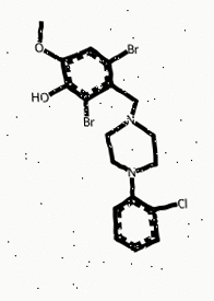 COc1cc(Br)c(CN2CCN(c3ccccc3Cl)CC2)c(Br)c1O